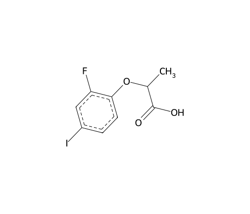 CC(Oc1ccc(I)cc1F)C(=O)O